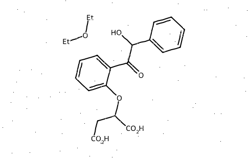 CCOCC.O=C(O)CC(Oc1ccccc1C(=O)C(O)c1ccccc1)C(=O)O